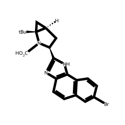 CC(C)(C)[C@@]12C[C@H]1C[C@@H](c1nc3ccc4cc(Br)ccc4c3[nH]1)N2C(=O)O